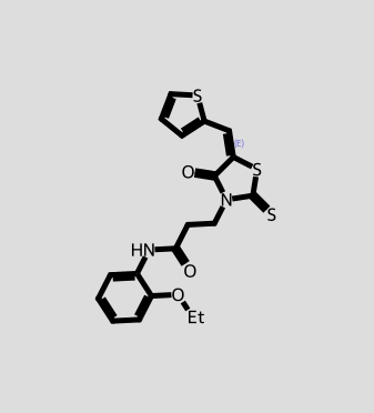 CCOc1ccccc1NC(=O)CCN1C(=O)/C(=C\c2cccs2)SC1=S